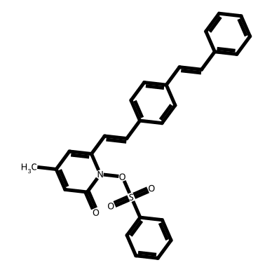 Cc1cc(C=Cc2ccc(C=Cc3ccccc3)cc2)n(OS(=O)(=O)c2ccccc2)c(=O)c1